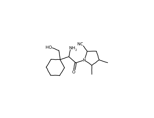 CC1CC(C#N)N(C(=O)C(N)C2(CO)CCCCC2)C1C